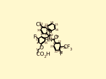 O=C(O)COc1cc(F)cc(C(Cc2ccccc2)(NC(=O)c2ccc(F)c(C(F)(F)F)c2)c2ccc(Cl)cn2)c1